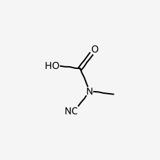 CN(C#N)C(=O)O